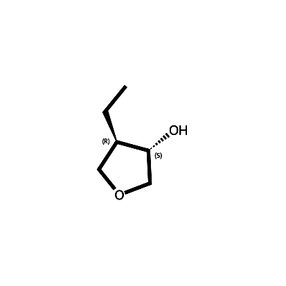 CC[C@@H]1COC[C@H]1O